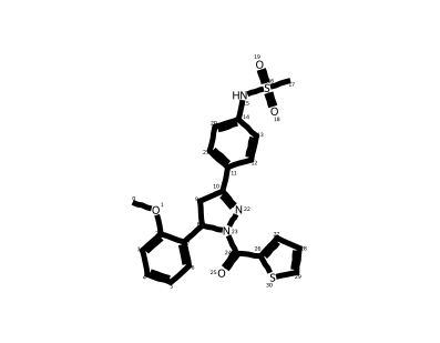 COc1ccccc1C1CC(c2ccc(NS(C)(=O)=O)cc2)=NN1C(=O)c1cccs1